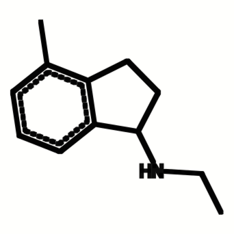 CCNC1CCc2c(C)cccc21